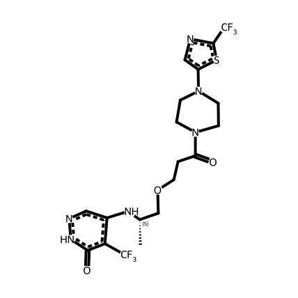 C[C@@H](COCCC(=O)N1CCN(c2cnc(C(F)(F)F)s2)CC1)Nc1cn[nH]c(=O)c1C(F)(F)F